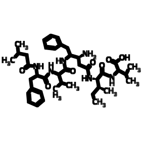 CC[C@H](C)[C@H](NC(=O)C[C@H](N)C(Cc1ccccc1)NC(=O)C(NC(=O)C(Cc1ccccc1)NC(=O)CC(C)C)C(C)C)C(=O)NC(C(=O)O)C(C)C